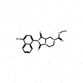 CC(C)(C)OC(=O)N1CCN2C(=O)N(c3ccc(C#N)c4ccccc34)C(=O)C2C1